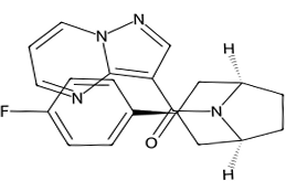 O=C(c1cnn2cccnc12)N1[C@@H]2CC[C@H]1C[C@@H](c1ccc(F)cc1)C2